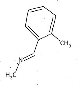 C/N=C/c1ccccc1C